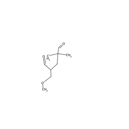 COCC(C=O)CC(C)(C)C=O